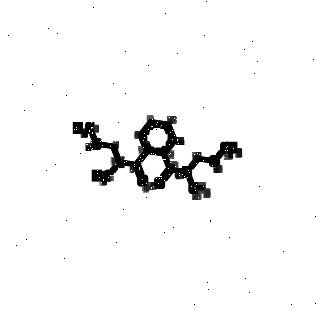 COCN(C)C(=O)c1ccccc1C(=O)N(C)COC